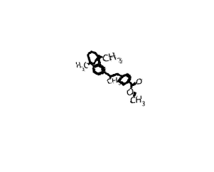 CCOC(=O)c1ccc(C=C(C)c2ccc3c(c2)C2(C)CCCC3(C)C2)cc1